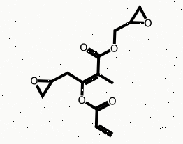 C=CC(=O)OC(CC1CO1)=C(C)C(=O)OCC1CO1